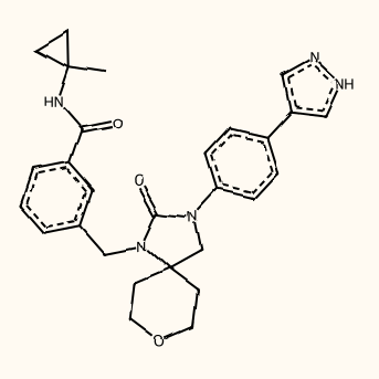 CC1(NC(=O)c2cccc(CN3C(=O)N(c4ccc(-c5cn[nH]c5)cc4)CC34CCOCC4)c2)CC1